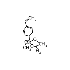 C=CC1=CCC([Si](OC)(OC)OC)C=C1